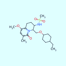 CCC1CCC(OCC2C(NS(C)(=O)=O)CCc3c(OC)cc(C)c(=O)n32)CC1